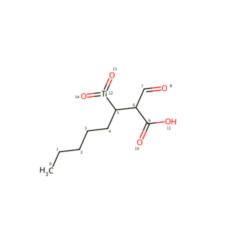 CCCCC[CH](C(C=O)C(=O)O)[Ti](=[O])=[O]